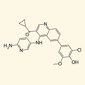 COc1cc(-c2ccc3ncc(C(=O)C4CC4)c(Nc4ccc(N)nc4)c3c2)cc(Cl)c1O